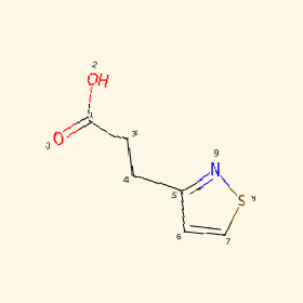 O=C(O)CCc1ccsn1